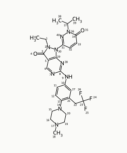 CCn1c(=O)c2cnc(Nc3ccc(N4CCN(C)CC4)c(CC(F)(F)F)c3)nc2n1-c1ccc(=O)n(C(C)C)n1